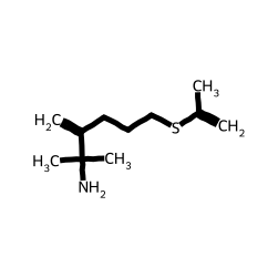 C=C(C)SCCCC(=C)C(C)(C)N